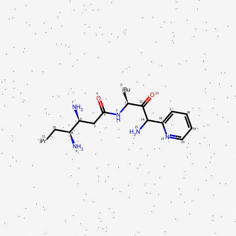 CCC(C)[C@H](NC(=O)C[C@H](N)[C@@H](N)CC(C)C)C(=O)C(N)c1ccccn1